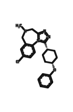 CN1Cc2cc(Cl)ccc2-n2c(nnc2[C@H]2CC[C@@H](Oc3ccccc3)CC2)C1